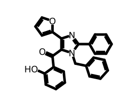 O=C(c1ccccc1O)c1c(-c2ccco2)nc(-c2ccccc2)n1Cc1ccccc1